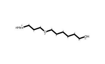 [CH2]CCCCCCCCOCCCCCCO